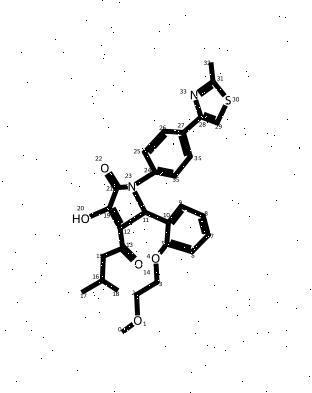 COCCOc1ccccc1C1C(C(=O)CC(C)C)=C(O)C(=O)N1c1ccc(-c2csc(C)n2)cc1